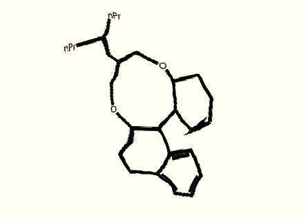 CCCC(CCC)C1COC2CCc3ccccc3C2C2C(CCC3CCCCC32)OC1